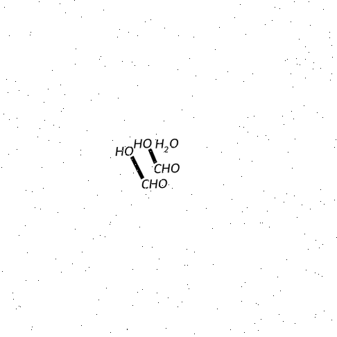 O.O=CO.O=CO